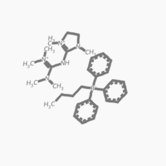 CCCC[B-](c1ccccc1)(c1ccccc1)c1ccccc1.CN(C)C(NC1=[N+](C)CCN1C)=[N+](C)C